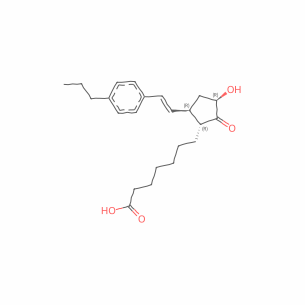 CCCc1ccc(C=C[C@H]2C[C@@H](O)C(=O)[C@@H]2CCCCCCC(=O)O)cc1